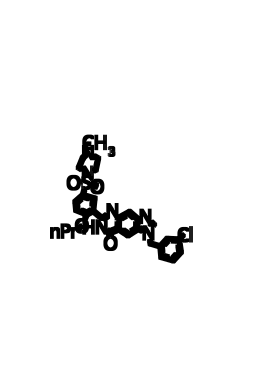 CCCOc1ccc(S(=O)(=O)N2CCN(C)CC2)cc1-c1nc2cc3ncn(Cc4cccc(Cl)c4)c3cc2c(=O)[nH]1